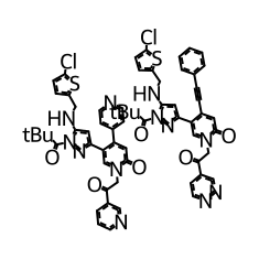 CC(C)(C)C(=O)n1nc(-c2cn(CC(=O)c3cccnc3)c(=O)cc2-c2ccncc2)cc1NCc1ccc(Cl)s1.CC(C)(C)C(=O)n1nc(-c2cn(CC(=O)c3ccnnc3)c(=O)cc2C#Cc2ccccc2)cc1NCc1ccc(Cl)s1